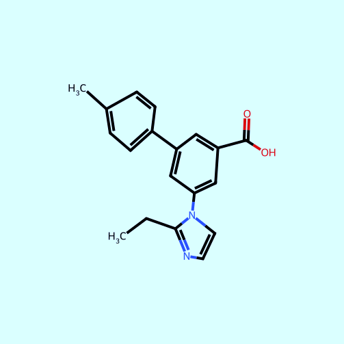 CCc1nccn1-c1cc(C(=O)O)cc(-c2ccc(C)cc2)c1